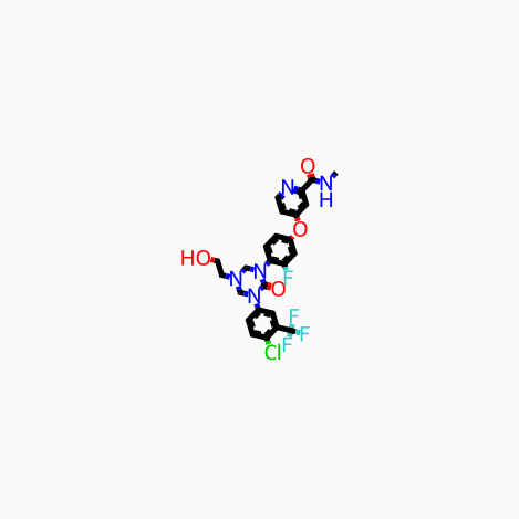 CNC(=O)c1cc(Oc2ccc(N3CN(CCO)CN(c4ccc(Cl)c(C(F)(F)F)c4)C3=O)c(F)c2)ccn1